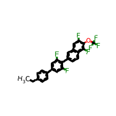 CCc1ccc(-c2cc(F)c(-c3ccc4c(F)c(OC(F)(F)F)c(F)cc4c3)c(F)c2)cc1